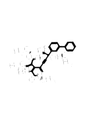 CCOC(=O)c1c(C)[nH]c2c(=O)n(C)cc(C#CC(O)(c3cccc(-c4ccccc4C)c3)C(F)(F)F)c12